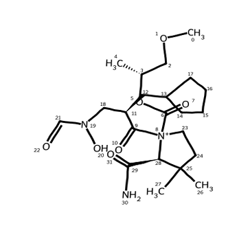 COC[C@@H](C)OC(=O)[N+]1(C(=O)[C@H](CC2CCCC2)CN(O)C=O)CCC(C)(C)[C@H]1C(N)=O